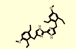 CCc1cc(OC)cc(CC)c1Cc1c[nH]c(-c2nc(Cc3c(CC)ccc(OC)c3CC)c[nH]2)n1